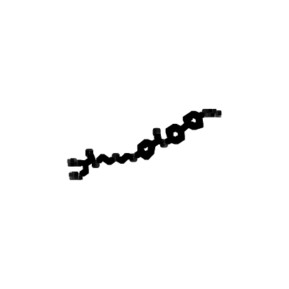 COc1ccc(-c2ccc(OC(=O)c3ccc(OCCOCCOC(=O)C(CC(C)(C)C)C(C)(C)C)cc3)cc2)cc1